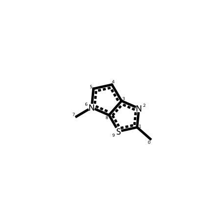 Cc1nc2ccn(C)c2s1